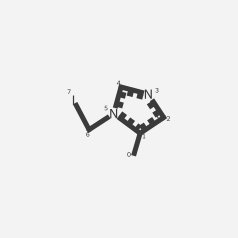 Cc1cncn1CI